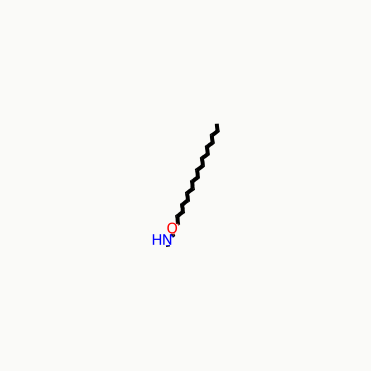 CCCCCCCCCCCCCCCCCCOCNC